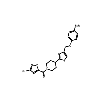 CSc1ccc(OCc2csc(C3CCN(C(=O)c4nc(C(C)C)no4)CC3)n2)cc1